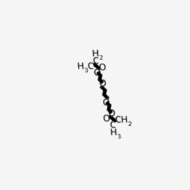 C=C(C)C(=O)OCCOCCCCOCCOC(=O)C(=C)C